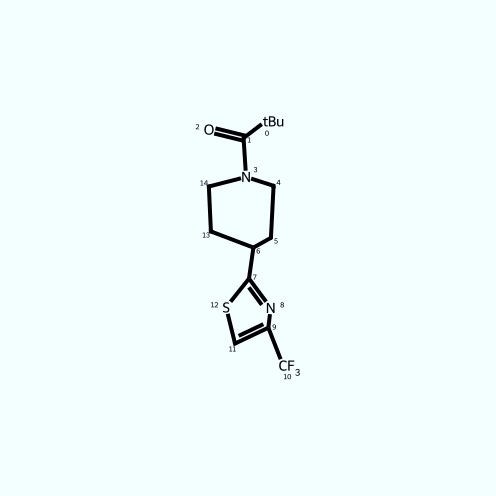 CC(C)(C)C(=O)N1CCC(c2nc(C(F)(F)F)cs2)CC1